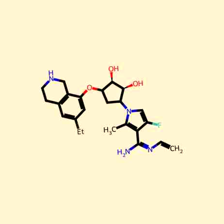 C=C/N=C(/N)c1c(F)cn(C2CC(Oc3cc(CC)cc4c3CNCC4)[C@@H](O)[C@H]2O)c1C